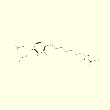 Cc1c(N2CC(C)OC(C)C2)ccc(NCCCCCNS(=O)(=O)C(C)C)c1F